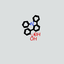 OB(O)c1ccccc1-c1cccc2c3ccccc3n(-c3ccccc3)c12